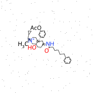 CC(=O)Oc1cccc([C@@]23CC[N@+](C)(CC4CC4)CC2(O)CC[C@@H](NC(=O)CCCCCc2ccccc2)C3)c1